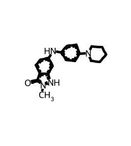 Cn1[nH]c2cc(Nc3ccc(N4CCCCC4)cc3)ccc2c1=O